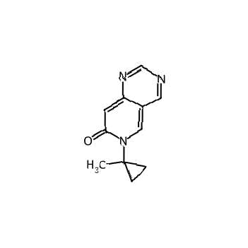 CC1(n2cc3cncnc3cc2=O)CC1